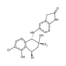 CC[C@@H]1C[C@](O)(C(F)(F)F)[C@@H](Nc2ccc3c(c2)CC(=O)N3)c2ccc(Cl)c(O)c21